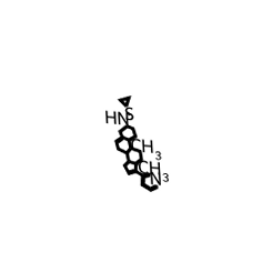 CC12CCC(NSC3CC3)CC1=CCC1C2CCC2(C)C(c3cccnc3)=CCC12